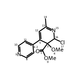 COC(=O)C1(OC)C(c2ccncc2)=CC(C)=NC1Cl